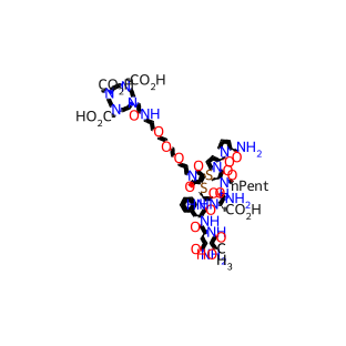 CCCCCC(=O)N[C@@H](CSC1=C(SC[C@H](NC(=O)[C@H](Cc2ccccc2)NC(=O)[C@H](CCC(N)=O)NC(=O)C[C@@H](C)O)C(=O)N[C@@H](CC(=O)O)C(N)=O)C(=O)N(CCCOCCOCCOCCCNC(=O)CN2CCN(CC(=O)O)CCN(CC(=O)O)CCN(CC(=O)O)CC2)C1=O)C(=O)N1CCC[C@H]1C(=O)N1CCC[C@H]1C(N)=O